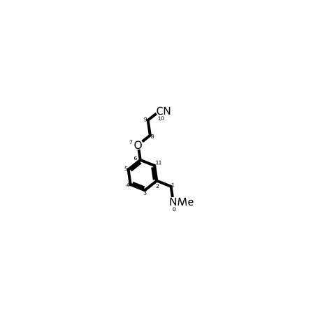 CNCc1cccc(OCCC#N)c1